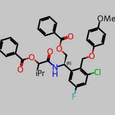 COc1ccc(OCc2c(Cl)cc(F)cc2[C@H](COC(=O)c2ccccc2)NC(=O)C(OC(=O)c2ccccc2)C(C)C)cc1